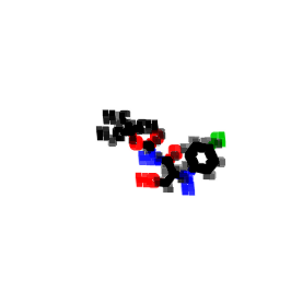 CC(C)(C)OC(=O)NC(=O)[C@H](CO)Nc1ccc(Cl)cc1